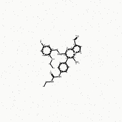 CCNC(=O)Nc1ccc(-c2c(NCc3cc(F)cnc3OCC)nc3c(C=O)cnn3c2N)cc1